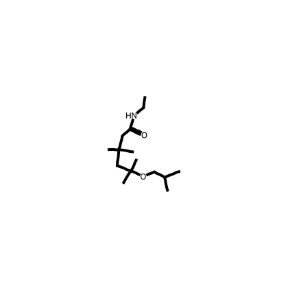 CCNC(=O)CC(C)(C)CC(C)(C)OCC(C)C